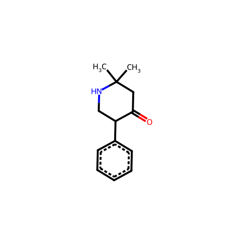 CC1(C)CC(=O)C(c2ccccc2)CN1